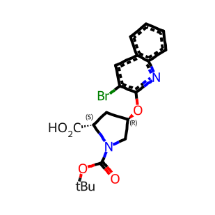 CC(C)(C)OC(=O)N1C[C@H](Oc2nc3ccccc3cc2Br)C[C@H]1C(=O)O